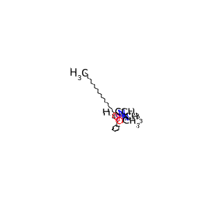 CCCCCCCCCCCCCCCCCCOP(OCc1ccccc1)C(N(C)C)N(C)C